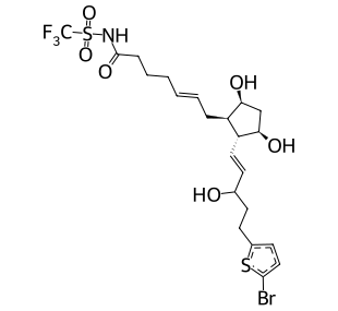 O=C(CCCC=CC[C@@H]1[C@@H](C=CC(O)CCc2ccc(Br)s2)[C@H](O)C[C@@H]1O)NS(=O)(=O)C(F)(F)F